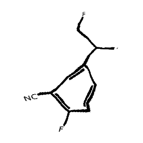 [CH2]C(CF)c1ccc(F)c(C#N)c1